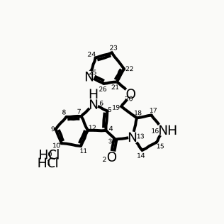 Cl.Cl.O=C(c1c[nH]c2ccccc12)N1CCNCC1COc1cccnc1